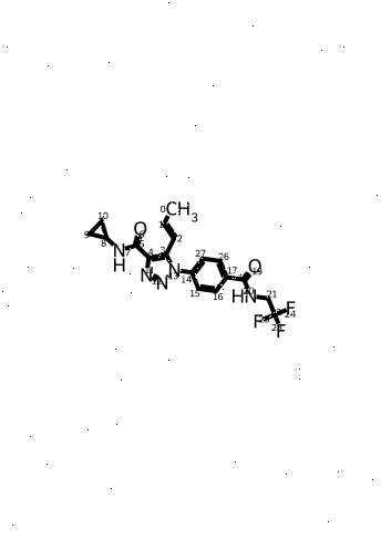 CC=Cc1c(C(=O)NC2CC2)nnn1-c1ccc(C(=O)NCC(F)(F)F)cc1